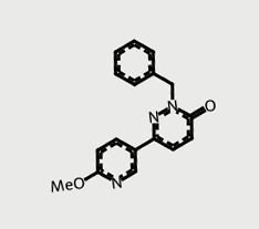 COc1ccc(-c2ccc(=O)n(Cc3ccccc3)n2)cn1